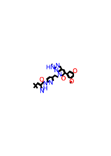 CNc1ncc2cc(-c3cc(OC)cc(OC)c3)c(=O)n(CCc3ccc(NC(=O)/C(C#N)=C/C(C)(C)C)nc3)c2n1